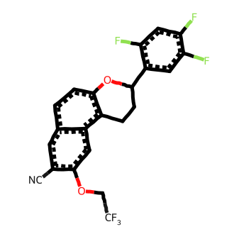 N#Cc1cc2ccc3c(c2cc1OCC(F)(F)F)CCC(c1cc(F)c(F)cc1F)O3